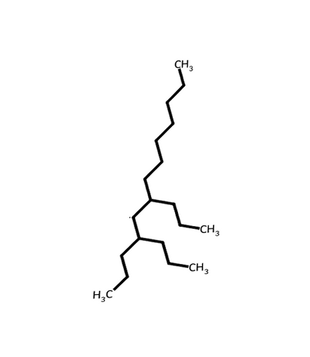 CCCCCCCC([CH]C(CCC)CCC)CCC